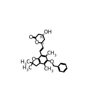 Cc1c(C=C[C@@H]2C[C@@H](O)CC(=O)O2)c2c(c(C)c1OCc1ccccc1)CC(C)(C)O2